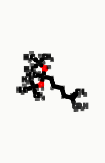 C=C(CCCC[Si](C)(O[Si](C)(C)C)O[Si](C)(C)C)C(=O)O